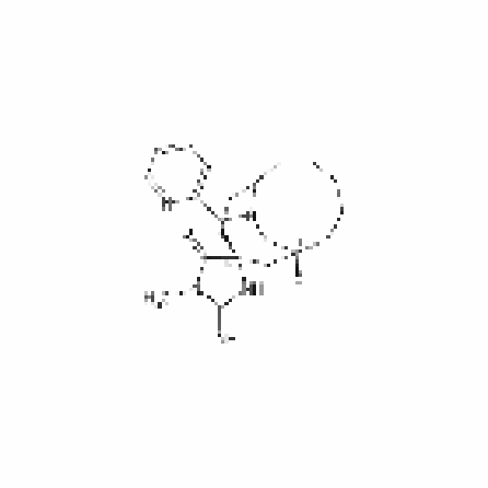 CN1C(=N)N[C@]2(CCC3CCCCC[C@@H](CN3Cc3ccccn3)C2)C1=O